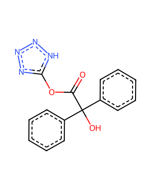 O=C(Oc1nnn[nH]1)C(O)(c1ccccc1)c1ccccc1